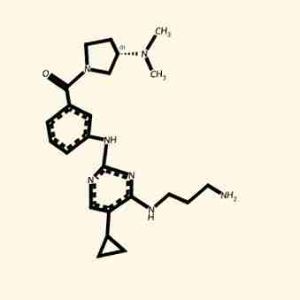 CN(C)[C@H]1CCN(C(=O)c2cccc(Nc3ncc(C4CC4)c(NCCCN)n3)c2)C1